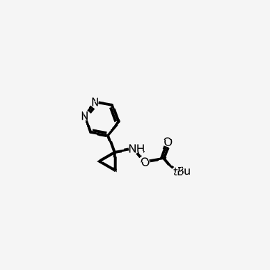 CC(C)(C)C(=O)ONC1(c2ccnnc2)CC1